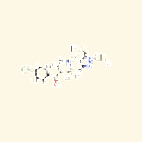 Cc1nn(C)c(C)c1SN1CCC(C(=O)c2ccc(Cl)cc2)CC1